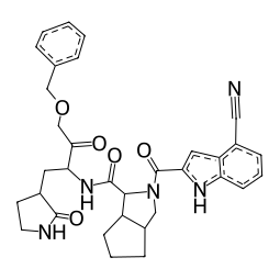 N#Cc1cccc2[nH]c(C(=O)N3CC4CCCC4C3C(=O)NC(CC3CCNC3=O)C(=O)COCc3ccccc3)cc12